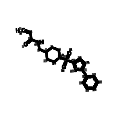 C=CC(=O)NCC1CCN(S(=O)(=O)c2ccc(-c3ccccc3)s2)CC1